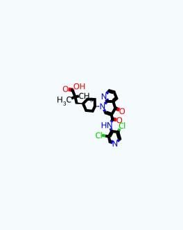 CC(C)(C[C@H]1CC[C@H](n2cc(C(=O)Nc3c(Cl)cncc3Cl)c(=O)c3cccnc32)CC1)C(=O)O